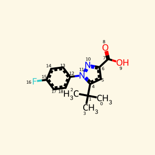 CC(C)(C)c1cc(C(=O)O)nn1-c1ccc(F)cc1